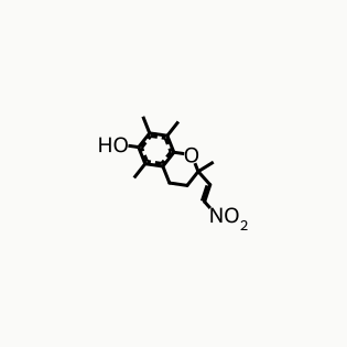 Cc1c(C)c2c(c(C)c1O)CCC(C)(C=C[N+](=O)[O-])O2